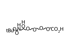 CC(C)(C)OC(=O)NCC(O)COCCOCCOCCOCC(=O)O